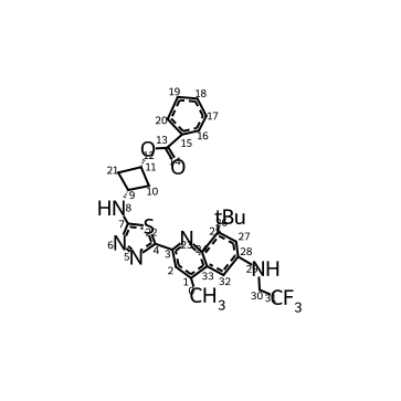 Cc1cc(-c2nnc(N[C@H]3C[C@@H](OC(=O)c4ccccc4)C3)s2)nc2c(C(C)(C)C)cc(NCC(F)(F)F)cc12